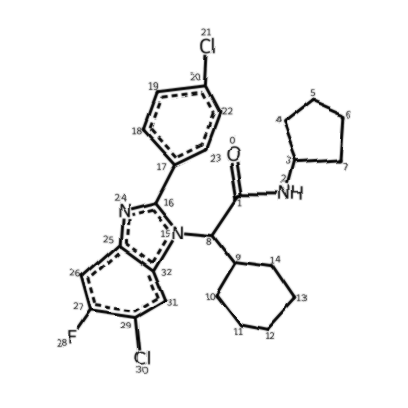 O=C(NC1CCCC1)C(C1CCCCC1)n1c(-c2ccc(Cl)cc2)nc2cc(F)c(Cl)cc21